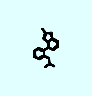 Cc1cc2c(-c3ccccc3CN(C)C)cccc2o1